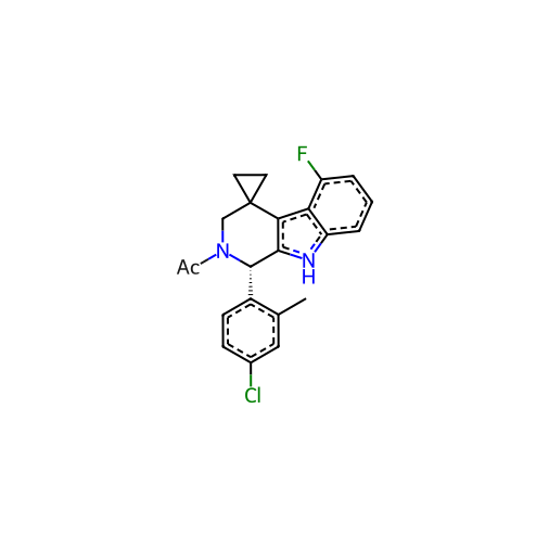 CC(=O)N1CC2(CC2)c2c([nH]c3cccc(F)c23)[C@@H]1c1ccc(Cl)cc1C